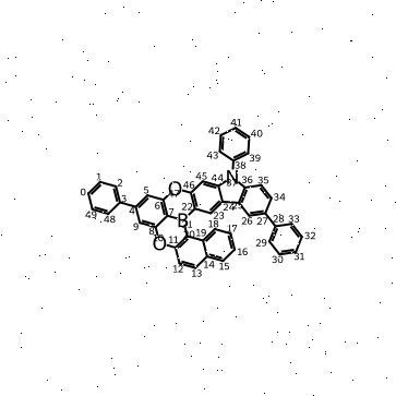 c1ccc(-c2cc3c4c(c2)Oc2ccc5ccccc5c2B4c2cc4c5cc(-c6ccccc6)ccc5n(-c5ccccc5)c4cc2O3)cc1